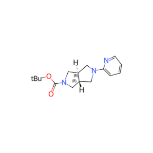 CC(C)(C)OC(=O)N1C[C@H]2CN(c3ccccn3)C[C@@H]2C1